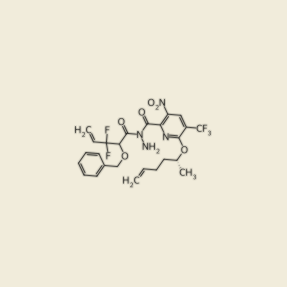 C=CCC[C@@H](C)Oc1nc(C(=O)N(N)C(=O)C(OCc2ccccc2)C(F)(F)C=C)c([N+](=O)[O-])cc1C(F)(F)F